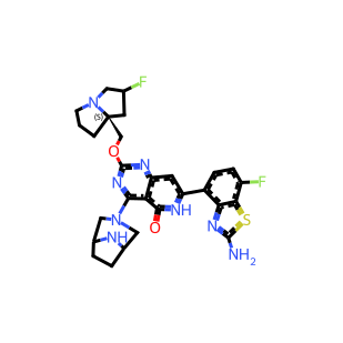 Nc1nc2c(-c3cc4nc(OC[C@@]56CCCN5CC(F)C6)nc(N5CC6CCC(C5)N6)c4c(=O)[nH]3)ccc(F)c2s1